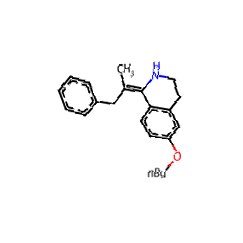 CCCCOc1ccc2c(c1)CCNC2=C(C)Cc1ccccc1